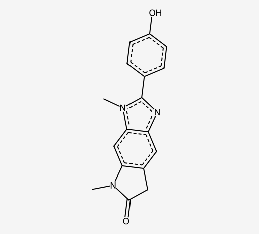 CN1C(=O)Cc2cc3nc(-c4ccc(O)cc4)n(C)c3cc21